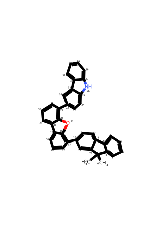 CC1(C)c2ccccc2-c2ccc(-c3cccc4c3oc3c(-c5ccc6[nH]c7ccccc7c6c5)cccc34)cc21